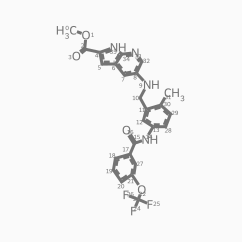 COC(=O)c1cc2cc(NCc3cc(NC(=O)c4cccc(OC(F)(F)F)c4)ccc3C)cnc2[nH]1